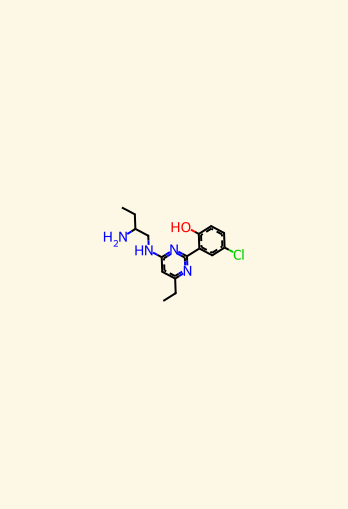 CCc1cc(NCC(N)CC)nc(-c2cc(Cl)ccc2O)n1